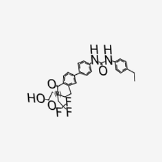 CCc1ccc(NC(=O)Nc2ccc(-c3ccc4c(c3)CC[C@@](CC(=O)O)(CC(F)(F)F)C4=O)cc2)cc1